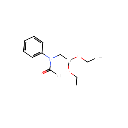 CCO[SiH](CN(C(C)=O)c1ccccc1)OCC